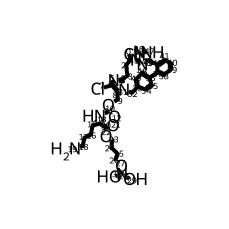 CCCCc1nc(Cl)c(COC(=O)NC(CCCCN)C(=O)OCCCCON(O)O)n1Cc1ccc(-c2ccccc2-c2nnn[nH]2)cc1